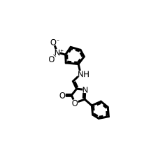 O=C1OC(c2ccccc2)=N/C1=C\Nc1cccc([N+](=O)[O-])c1